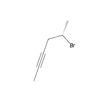 CC#CC[C@H](C)Br